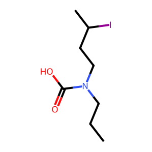 CCCN(CCC(C)I)C(=O)O